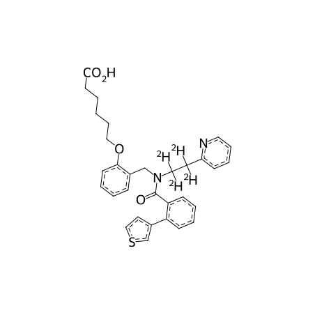 [2H]C([2H])(c1ccccn1)C([2H])([2H])N(Cc1ccccc1OCCCCCC(=O)O)C(=O)c1ccccc1-c1ccsc1